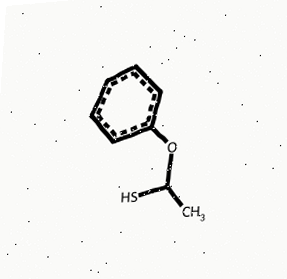 C[C](S)Oc1ccccc1